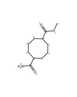 COC(=O)C1CCCC(C(N)=O)CCC1